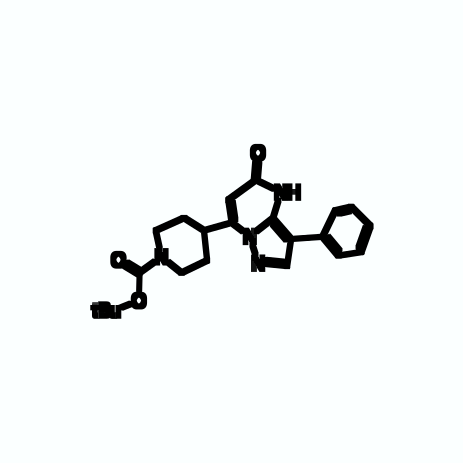 CC(C)(C)OC(=O)N1CCC(c2cc(=O)[nH]c3c(-c4ccccc4)cnn23)CC1